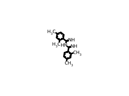 Cc1ccc(C(=N)NC(=N)c2ccc(C)cc2C)c(C)c1